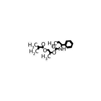 C=CC(NC(=O)OC(C)COC(=O)C(=C)C)c1ccccc1